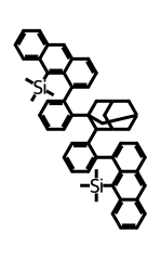 C[Si](C)(C)c1c2ccccc2cc2cccc(-c3ccccc3C3C4CC5CC(C4)CC3(c3ccccc3-c3cccc4cc6ccccc6c([Si](C)(C)C)c34)C5)c12